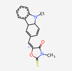 CCN1c2ccccc2C2C=C(/C=C3/OC(=S)N(C)C3=O)C=CC21